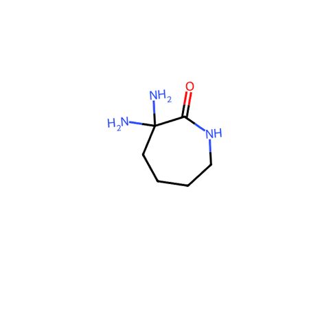 NC1(N)CCCCNC1=O